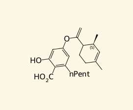 C=C(Oc1cc(O)c(C(=O)O)c(CCCCC)c1)C1CCC(C)=C[C@@H]1C